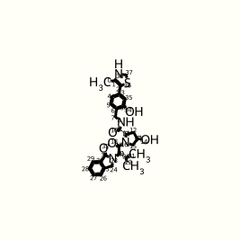 CC1=C(c2ccc(CNC(=O)[C@@H]3C[C@@H](O)CN3C(=O)[C@H](C(C)C)N3Cc4ccccc4C3=O)c(O)c2)SCN1